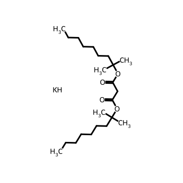 CCCCCCCC(C)(C)OC(=O)CC(=O)OC(C)(C)CCCCCCC.[KH]